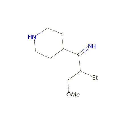 CCC(COC)C(=N)C1CCNCC1